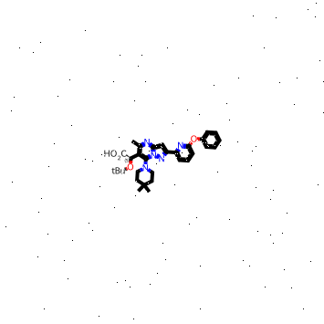 Cc1nc2cc(-c3cccc(Oc4ccccc4)n3)nn2c(N2CCC(C)(C)CC2)c1[C@H](OC(C)(C)C)C(=O)O